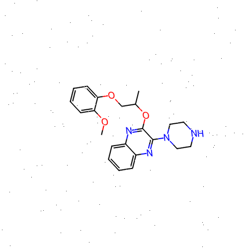 COc1ccccc1OCC(C)Oc1nc2ccccc2nc1N1CCNCC1